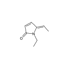 CC=C1C=CC(=O)N1CC